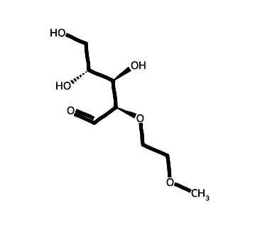 COCCO[C@@H](C=O)[C@H](O)[C@H](O)CO